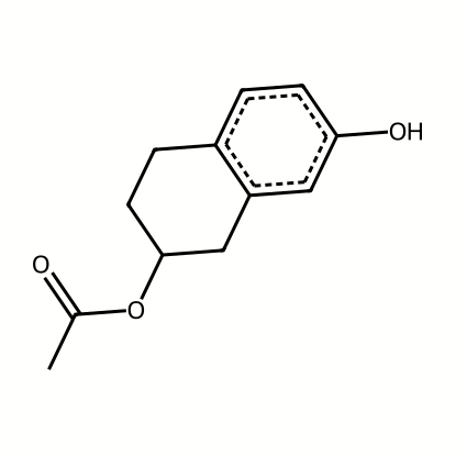 CC(=O)OC1CCc2ccc(O)cc2C1